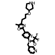 Cc1oc(-c2ccc(N(Cc3cccnc3)C(=O)C(F)(F)F)cc2)nc1CCCOC1CCNCC1